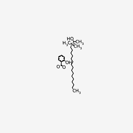 CCCCCCCCCCCCCCCC[N+](C)(C)C(C)O.O=C([O-])c1ccccc1O